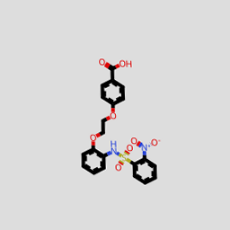 O=C(O)c1ccc(OCCOc2ccccc2NS(=O)(=O)c2ccccc2[N+](=O)[O-])cc1